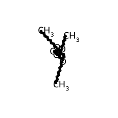 CCC=CCCOc1c(OCCCCCCCCCC)c(=O)oc2cc(OCCCCCCCCCC)ccc12